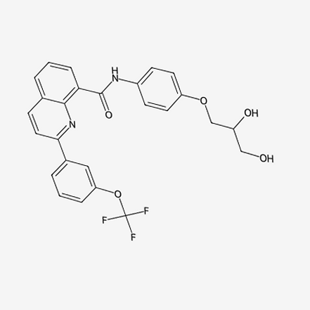 O=C(Nc1ccc(OCC(O)CO)cc1)c1cccc2ccc(-c3cccc(OC(F)(F)F)c3)nc12